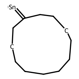 [Sn]=[C]1CCCCCCCCCCC1